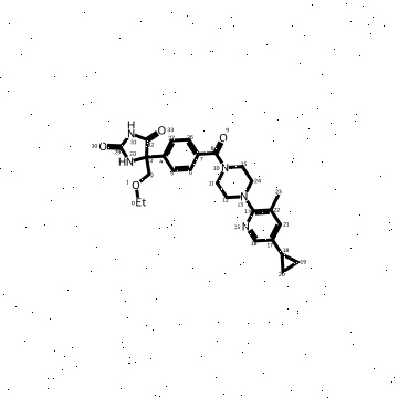 CCOCC1(c2ccc(C(=O)N3CCN(c4ncc(C5CC5)cc4C)CC3)cc2)NC(=O)NC1=O